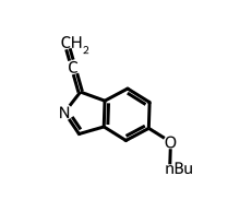 C=C=C1N=Cc2cc(OCCCC)ccc21